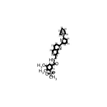 Cc1cc(C(=O)NCc2cc3nc(-c4cccc(N5CC6CC(C5)O6)n4)ccc3cn2)cc(S(C)(=O)=O)c1C